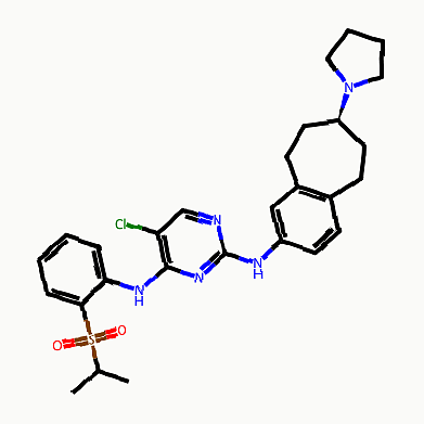 CC(C)S(=O)(=O)c1ccccc1Nc1nc(Nc2ccc3c(c2)CC[C@@H](N2CCCC2)CC3)ncc1Cl